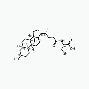 C[C@H](CCC(=O)N[C@@H](CS)C(=O)O)[C@H]1CC[C@H]2[C@@H]3CC[C@@H]4C[C@H](O)CC[C@]4(C)[C@H]3CC[C@]12C